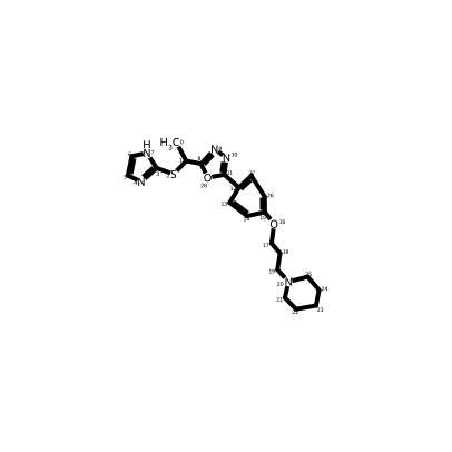 CC(Sc1ncc[nH]1)c1nnc(-c2ccc(OCCCN3CCCCC3)cc2)o1